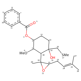 COC1C(OC(=O)c2ccccc2)CCC(O)(CSC)C1C1(C)OC1CC=C(C)C